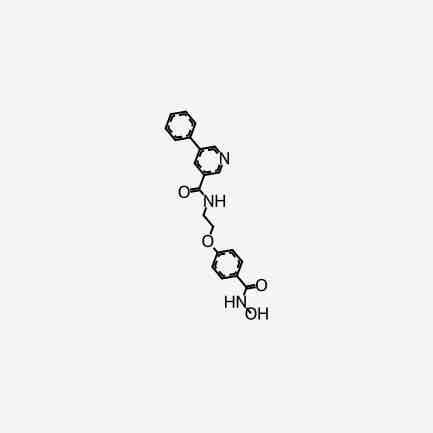 O=C(NO)c1ccc(OCCNC(=O)c2cncc(-c3ccccc3)c2)cc1